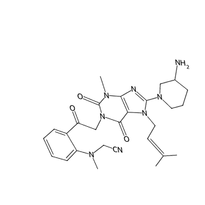 CC(C)=CCn1c(N2CCCC(N)C2)nc2c1c(=O)n(CC(=O)c1ccccc1N(C)CC#N)c(=O)n2C